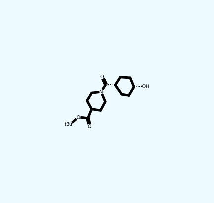 CC(C)(C)OC(=O)C1CCN(C(=O)[C@H]2CC[C@@H](O)CC2)CC1